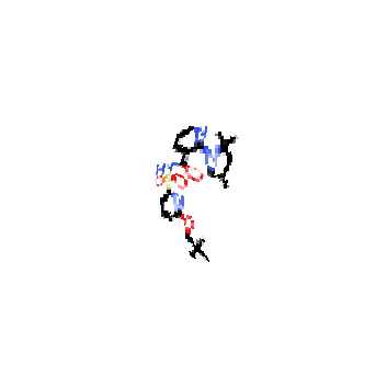 CC1CN(c2ncccc2C(=O)NS(=O)(=O)c2cccc(OCC(C)(C)C)n2)C(C)(C)C1